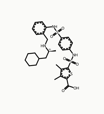 Cc1c(C(=O)O)sc(S(=O)(=O)Nc2ccc(S(=O)(=O)Nc3ccccc3CN[C@@H](C)CC3CCCCC3)cc2)c1C